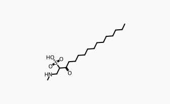 CCCCCCCCCCCCCC(=O)C(CNC)S(=O)(=O)O